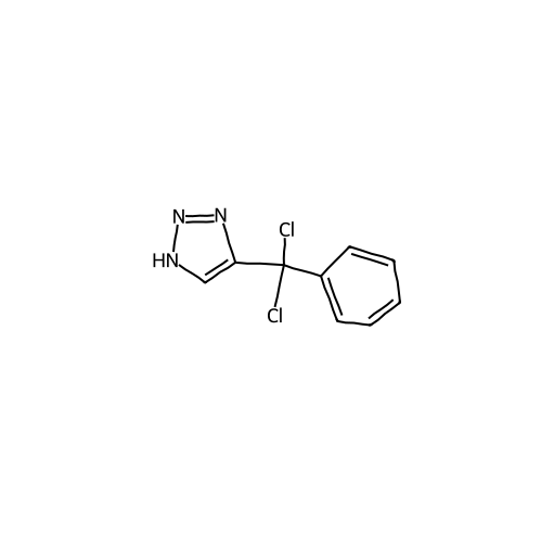 ClC(Cl)(c1ccccc1)c1c[nH]nn1